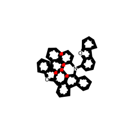 c1ccc(N(c2c(-c3ccc4ccccc4c3)c3ccccc3c3ccccc23)c2cccc3c2oc2ccccc23)c(-c2cccc3oc4ccccc4c23)c1